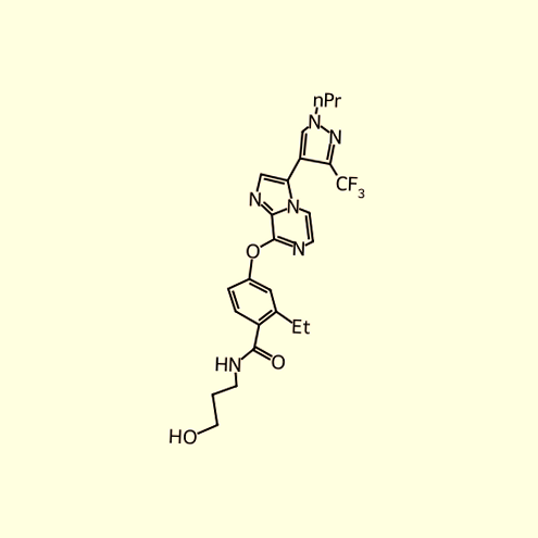 CCCn1cc(-c2cnc3c(Oc4ccc(C(=O)NCCCO)c(CC)c4)nccn23)c(C(F)(F)F)n1